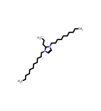 CCCCCCCCCCCN1C=CN(CCCCCCCCCC)C1CCC